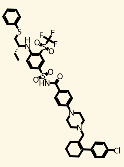 CC[C@H](CSc1ccccc1)Nc1ccc(S(=O)(=O)NC(=O)c2ccc(N3CCN(CC4=C(c5ccc(Cl)cc5)CCCC4)CC3)cc2)cc1S(=O)(=O)C(F)(F)F